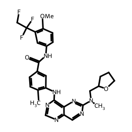 COc1ccc(NC(=O)c2ccc(C)c(Nc3ncnc4cnc(N(C)CC5CCCO5)nc34)c2)cc1C(F)(F)CF